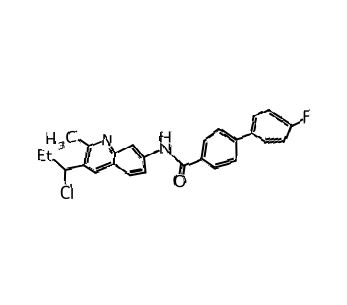 CCC(Cl)c1cc2ccc(NC(=O)c3ccc(-c4ccc(F)cc4)cc3)cc2nc1C